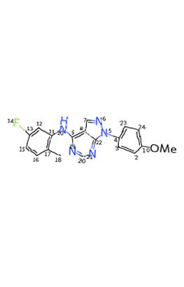 COc1ccc(-n2ncc3c(Nc4cc(F)ccc4C)ncnc32)cc1